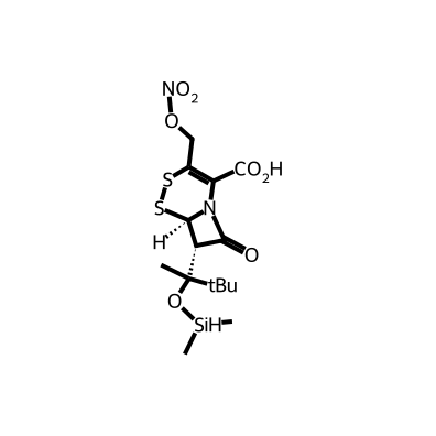 C[SiH](C)OC(C)([C@H]1C(=O)N2C(C(=O)O)=C(CO[N+](=O)[O-])SS[C@H]12)C(C)(C)C